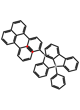 c1ccc(-c2cccc3cccc(-c4ccc(Nc5ccccc5S5(c6ccccc6)c6ccccc6-c6ccccc65)cc4)c23)cc1